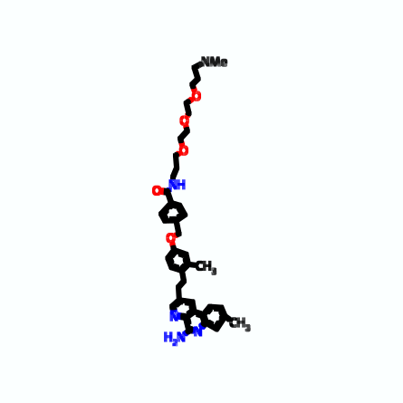 CNCCCOCCOCCOCCCNC(=O)c1ccc(COc2ccc(CCc3cnc4c(N)nc5cc(C)ccc5c4c3)c(C)c2)cc1